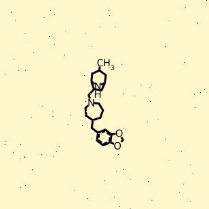 CC1CC2CC(CN3CCCC(Cc4ccc5c(c4)OCO5)CC3)C(C1)N2